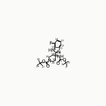 CC(C)(C)OC(=O)NC1(c2nc3cccc(F)c3[nH]2)CCN(C(=O)OC(C)(C)C)CC1